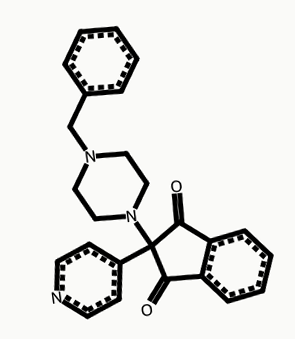 O=C1c2ccccc2C(=O)C1(c1ccncc1)N1CCN(Cc2ccccc2)CC1